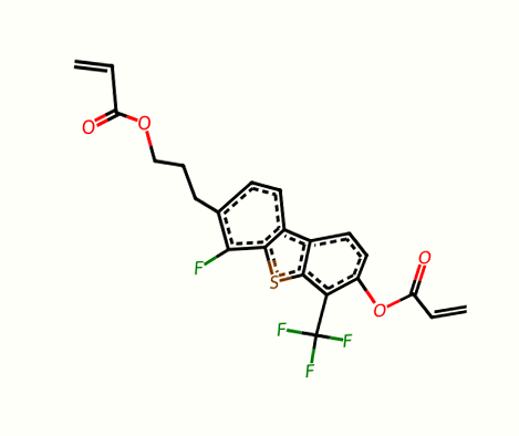 C=CC(=O)OCCCc1ccc2c(sc3c(C(F)(F)F)c(OC(=O)C=C)ccc32)c1F